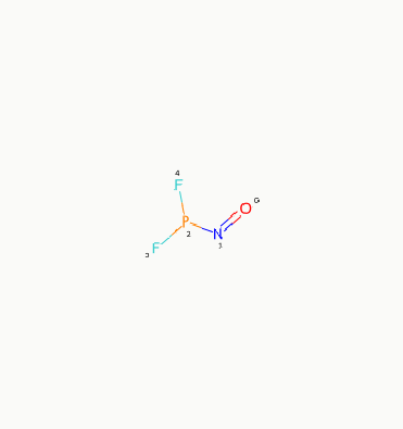 O=NP(F)F